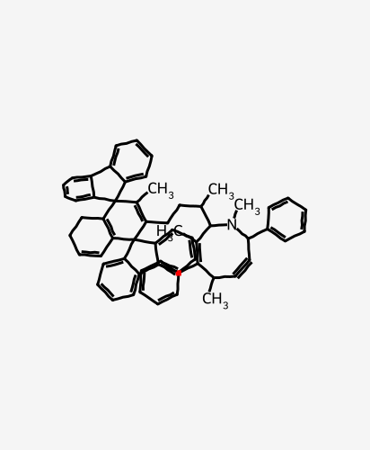 CC1=C(CCC(C)C2/C(C)=C(/c3ccccc3)C(C)C#CC(c3ccccc3)N2C)C2(C3=C(CCC=C3)C13c1ccccc1-c1ccccc13)c1ccccc1-c1ccccc12